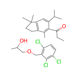 CC(O)COCc1c(Cl)ccc(Cl)c1Cl.CCC(=O)c1c(C(C)C)cc2c(c1C)CCC2(C)C